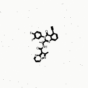 C#Cc1cccc2nc([C@H](C)NC(=O)c3c(C)nn4cccnc34)n(-c3ccc(F)c(F)c3)c(=O)c12